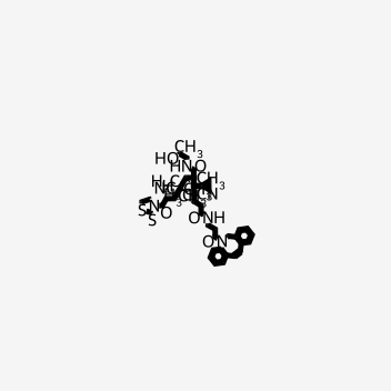 CC(O)CNC(=O)C(C)(CC(C)(C)C(C)(C#N)CCC(=O)N1CCSC1=S)C(C)(C1=CC1)C(C)(C#N)CCC(=O)NCCC(=O)N1Cc2ccccc2C#Cc2ccccc21